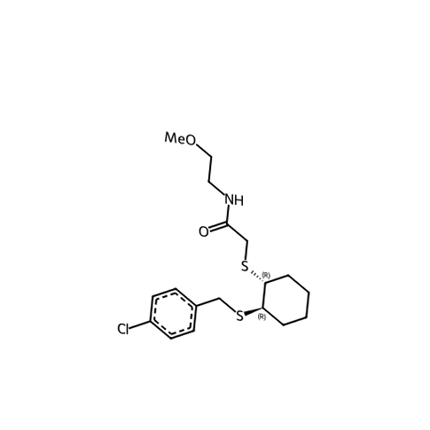 COCCNC(=O)CS[C@@H]1CCCC[C@H]1SCc1ccc(Cl)cc1